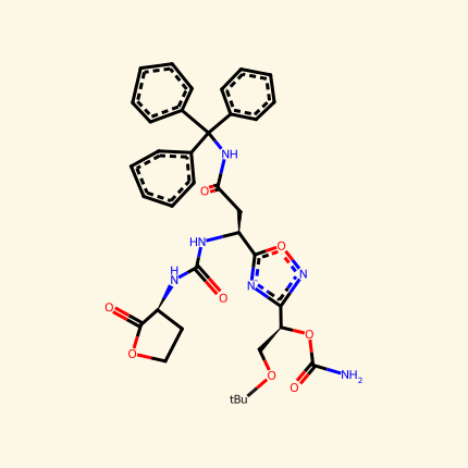 CC(C)(C)OC[C@H](OC(N)=O)c1noc([C@H](CC(=O)NC(c2ccccc2)(c2ccccc2)c2ccccc2)NC(=O)N[C@H]2CCOC2=O)n1